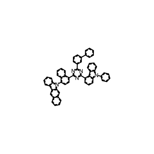 c1ccc(-c2cccc(-c3nc(-c4ccc(-n5c6ccccc6c6cc7ccccc7cc65)c5ccccc45)nc(-c4cccc5c4c4ccccc4n5-c4ccccc4)n3)c2)cc1